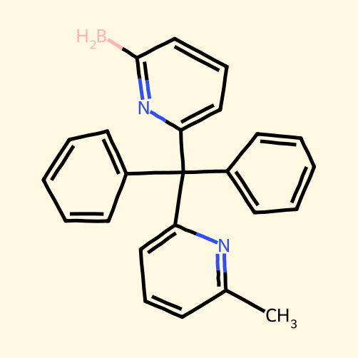 Bc1cccc(C(c2ccccc2)(c2ccccc2)c2cccc(C)n2)n1